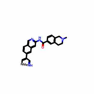 CN/C=C(\C=N)c1ccc2cnc(NC(=O)c3ccc4c(c3)CCN(C)C4)cc2c1